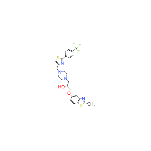 Cc1nc2cc(OCC(O)CN3CCN(Cc4csc(-c5ccc(C(F)(F)F)cc5)n4)CC3)ccc2s1